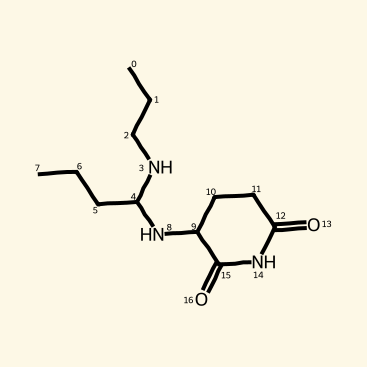 CCCNC(CCC)NC1CCC(=O)NC1=O